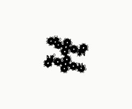 Cc1nc2ccccc2n1-c1ccc(-c2c3ccccc3c(-c3ccc(-c4ccccn4)cc3)c3ccc(-c4ccc5c(-c6ccc7c(c6)C(C)(C)c6ccccc6-7)c6ccccc6c(-c6ccc(-n7c(C)nc8ccccc87)cc6)c5c4)cc23)cc1